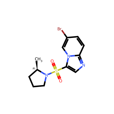 C[C@@H]1CCCN1S(=O)(=O)c1cnc2ccc(Br)cn12